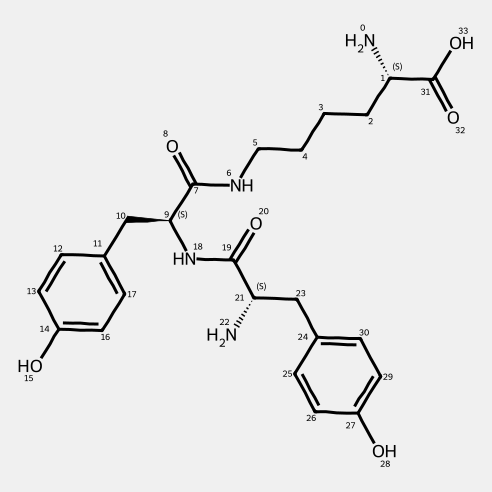 N[C@@H](CCCCNC(=O)[C@H](Cc1ccc(O)cc1)NC(=O)[C@@H](N)Cc1ccc(O)cc1)C(=O)O